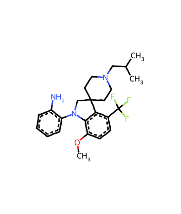 COc1ccc(C(F)(F)F)c2c1N(c1ccccc1N)CC21CCN(CC(C)C)CC1